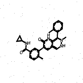 Cc1ccccc1C1=c2[nH]c(=O)c(-c3cc(C(=O)NC4CC4)ccc3C)cc2=CNN1C